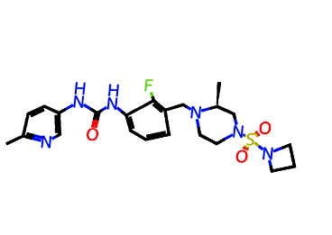 Cc1ccc(NC(=O)Nc2cccc(CN3CCN(S(=O)(=O)N4CCC4)C[C@@H]3C)c2F)cn1